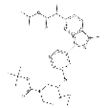 CC(C)OC(=O)C(C)c1ccc2c(c1)c(-c1cncc(OC3CN(C(=O)OC(C)(C)C)CCC34CC4)n1)nn2C